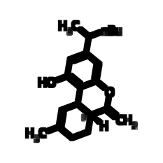 C=C1Oc2cc(C(C)CCCC)cc(O)c2C2C=C(C)CC[C@@H]12